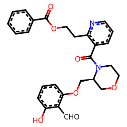 O=Cc1c(O)cccc1OC[C@@H]1COCCN1C(=O)c1cccnc1CCOC(=O)c1ccccc1